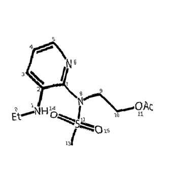 CCNc1cccnc1N(CCOC(C)=O)S(C)(=O)=O